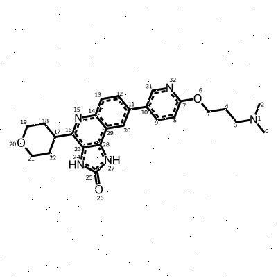 CN(C)CCCOc1ccc(-c2ccc3nc(C4CCOCC4)c4[nH]c(=O)[nH]c4c3c2)cn1